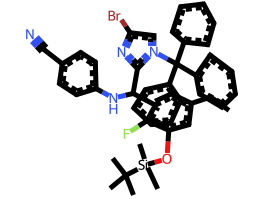 CCc1cc(O[Si](C)(C)C(C)(C)C)c(F)c(C(Nc2ccc(C#N)cc2)c2nc(Br)cn2C(c2ccccc2)(c2ccccc2)c2ccccc2)c1